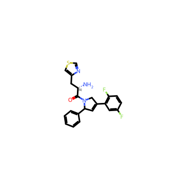 N[C@@H](Cc1cscn1)C(=O)N1CC(c2cc(F)ccc2F)=CC1c1ccccc1